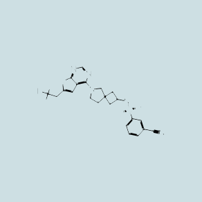 N#Cc1cccc(S(=O)(=O)NC2CC3(CCN(c4ncnc5sc(CC(F)(F)F)cc45)C3)C2)c1